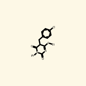 CCSC1=NC(=O)N(C(C)C)C(=O)C1Cc1ccc(Cl)cc1